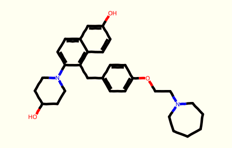 Oc1ccc2c(Cc3ccc(OCCN4CCCCCC4)cc3)c(N3CCC(O)CC3)ccc2c1